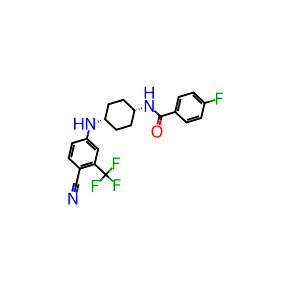 N#Cc1ccc(N[C@H]2CC[C@@H](NC(=O)c3ccc(F)cc3)CC2)cc1C(F)(F)F